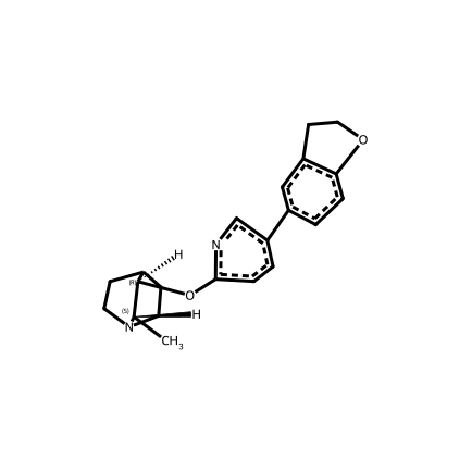 C[C@H]1[C@H](Oc2ccc(-c3ccc4c(c3)CCO4)cn2)C2CCN1CC2